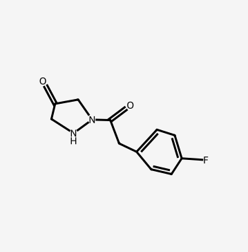 O=C1CNN(C(=O)Cc2ccc(F)cc2)C1